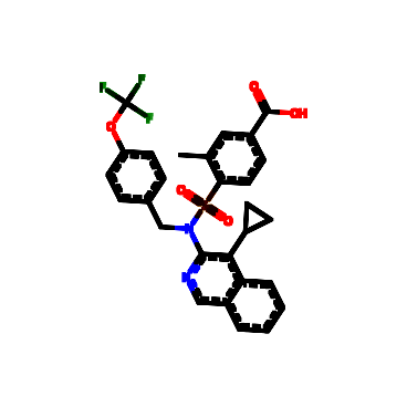 Cc1cc(C(=O)O)ccc1S(=O)(=O)N(Cc1ccc(OC(F)(F)F)cc1)c1ncc2ccccc2c1C1CC1